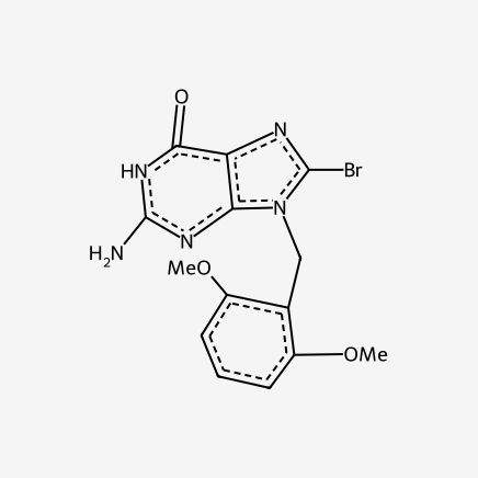 COc1cccc(OC)c1Cn1c(Br)nc2c(=O)[nH]c(N)nc21